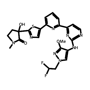 COc1nn(CC(F)F)cc1Nc1nccc(-c2cccc(-c3cnc(C4(O)CCN(C)C4=O)s3)n2)n1